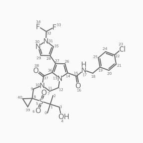 CC(C)(CO)S(=O)(=O)C1(CN2CCn3c(C(=O)NCc4ccc(Cl)cc4)cc(-c4cnn(C(F)F)c4)c3C2=O)CC1